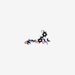 CC(C)N(C)C(=O)Cn1c(-c2cccc(Cl)c2)cc2cc(OCCCN3CC4(COC4)C3)ccc21